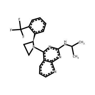 CC(C)Nc1nc(N2CC[C@H]2c2ccccc2C(F)(F)F)c2cccnc2n1